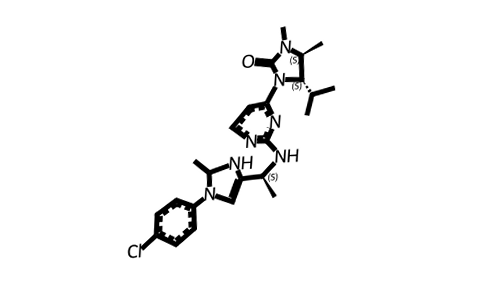 CC(C)[C@H]1[C@H](C)N(C)C(=O)N1c1ccnc(N[C@@H](C)C2=CN(c3ccc(Cl)cc3)C(C)N2)n1